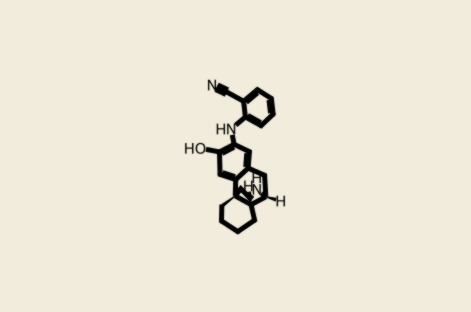 N#Cc1ccccc1Nc1cc2c(cc1O)[C@@]13CCCC[C@H]1[C@@H](C2)NCC3